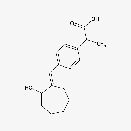 CC(C(=O)O)c1ccc(C=C2CCCCCC2O)cc1